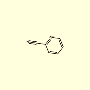 N#CC1=[N+]C=CC=C1